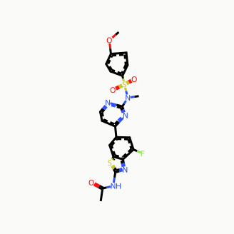 COc1ccc(S(=O)(=O)N(C)c2nccc(-c3cc(F)c4nc(NC(C)=O)sc4c3)n2)cc1